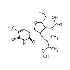 CO[C@H](C)[C@@H](C)OC1C(O[PH](=O)O)[C@@H](CO)O[C@H]1n1cc(C)c(=O)[nH]c1=O